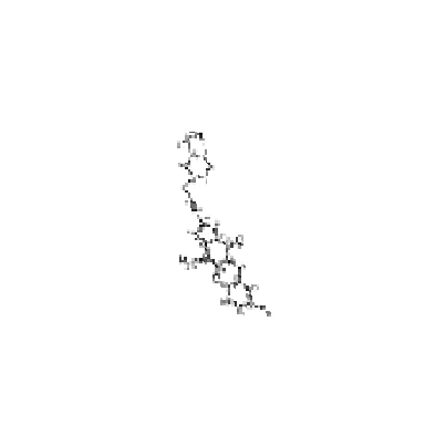 COc1cccc(CC#Cc2cc3c(=O)n(Cc4cccc(F)c4)c(=O)n(C)c3s2)c1